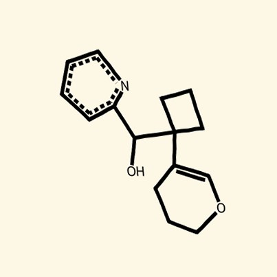 OC(c1ccccn1)C1(C2=COCCC2)CCC1